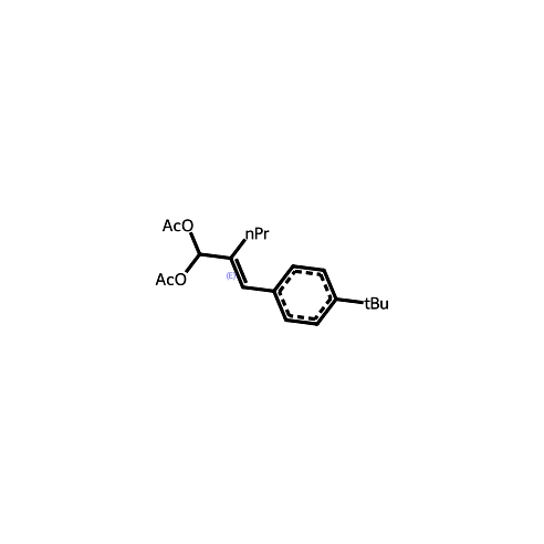 CCC/C(=C\c1ccc(C(C)(C)C)cc1)C(OC(C)=O)OC(C)=O